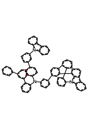 c1ccc(-c2cccc(-c3ccccc3N(c3ccc(-c4cccc(-n5c6ccccc6c6ccccc65)c4)cc3)c3cccc(-c4ccc5c(c4)C4(c6ccccc6-5)c5ccccc5-n5c6ccccc6c6cccc4c65)c3)c2)cc1